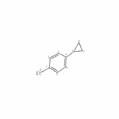 [CH2]Cc1ccc(C2CC2)cc1